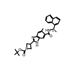 Cc1cc2nc(C3CN(C(=O)OC(C)(C)C)C3)[nH]c2cc1C(=O)N[C@H](C)c1cccc2ccccc12